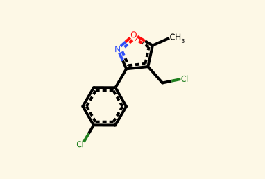 Cc1onc(-c2ccc(Cl)cc2)c1CCl